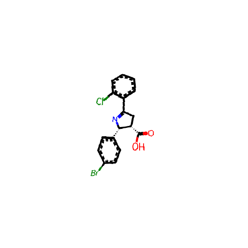 O=C(O)[C@H]1CC(c2ccccc2Cl)=N[C@H]1c1ccc(Br)cc1